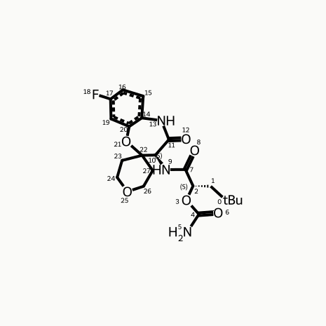 CC(C)(C)C[C@H](OC(N)=O)C(=O)N[C@@H]1C(=O)Nc2ccc(F)cc2OC12CCOCC2